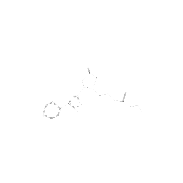 CCOC(=O)CCCN1CC(=O)CC1c1nnc(-c2ccncc2)o1